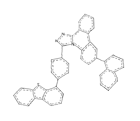 c1ccc2c(-c3ccc4c(c3)c3ccccc3c3nnc(-c5ccc(-c6cccc7c6sc6ccccc67)cc5)n43)cccc2c1